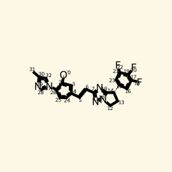 COc1cc(/C=C/c2nc3n(n2)CC[C@H]3c2cc(F)c(F)c(F)c2)ccc1-n1cnc(C)c1